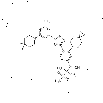 Cc1cc(-c2nnc(-c3ccc(C(O)C(C)(C)S(N)(=O)=O)cc3N3CCC4(CC3)CC4)o2)cc(N2CCC(F)(F)CC2)n1